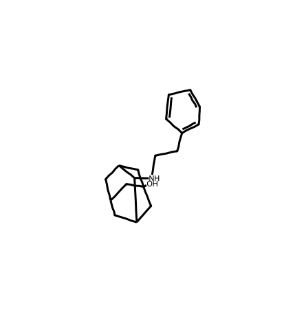 OC12CC3CC(C1)C(NCCc1ccccc1)C(C3)C2